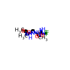 CCn1c(=C(C#N)C(=O)NCC(F)(F)F)sc(=CNc2cccc(NC(=O)CN(C)c3cccc(OC)c3)n2)c1=O